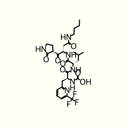 CCCCNC(=O)C[C@H](NC(=O)[C@H](CC(C)C)NC(=O)[C@H](Cc1cccc(C(F)(F)F)n1)NC(=O)O)C(=O)[C@@H]1CCNC1=O